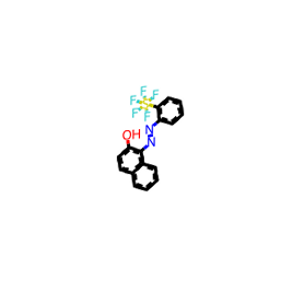 Oc1ccc2ccccc2c1/N=N/c1ccccc1S(F)(F)(F)(F)F